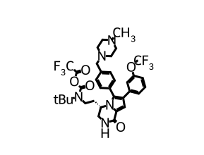 CN1CCN(Cc2ccc(-c3c(-c4cccc(OC(F)(F)F)c4)cc4n3[C@@H](CCN(C(=O)OC(=O)C(F)(F)F)C(C)(C)C)CNC4=O)cc2)CC1